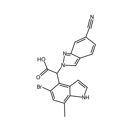 Cc1cc(Br)c(C(C(=O)O)n2cc3ccc(C#N)cc3n2)c2cc[nH]c12